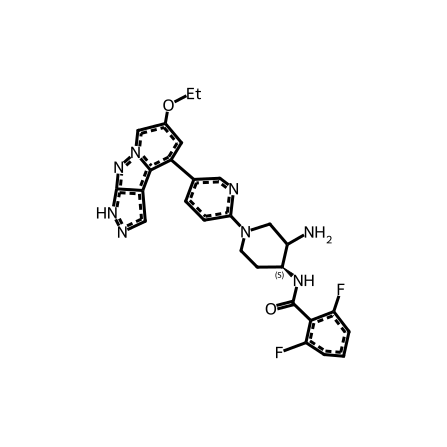 CCOc1cc(-c2ccc(N3CC[C@H](NC(=O)c4c(F)cccc4F)C(N)C3)nc2)c2c3cn[nH]c3nn2c1